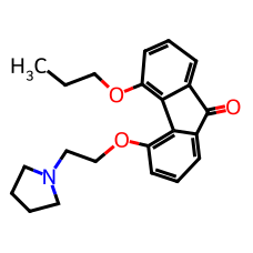 CCCOc1cccc2c1-c1c(OCCN3CCCC3)cccc1C2=O